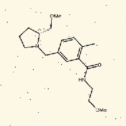 COCCNC(=O)c1cc(CN2CCC[C@@H]2COC)ccc1C